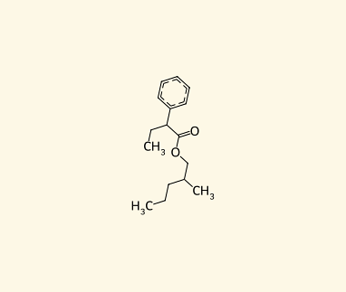 CCCC(C)COC(=O)C(CC)c1ccccc1